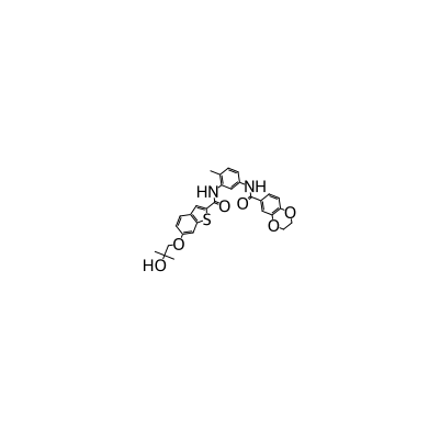 Cc1ccc(NC(=O)c2ccc3c(c2)OCCO3)cc1NC(=O)c1cc2ccc(OCC(C)(C)O)cc2s1